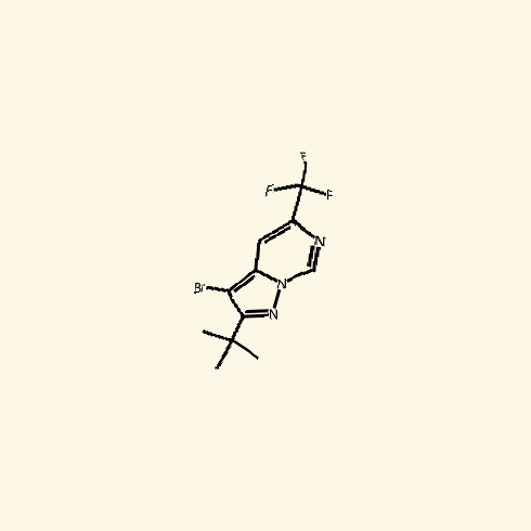 CC(C)(C)c1nn2cnc(C(F)(F)F)cc2c1Br